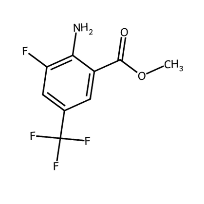 COC(=O)c1cc(C(F)(F)F)cc(F)c1N